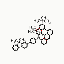 CC(C)(C)c1cc(-c2cccc3cccc(-c4ccccc4N(c4ccccc4)c4ccc(-c5ccc6c(c5)C(C)(C)c5ccccc5-6)cc4)c23)cc(C(C)(C)C)c1